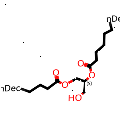 CCCCCCCCCCCCCCCC(=O)O[C@@H](CO)COC(=O)CCCCCCCCCCCCC